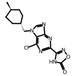 C[C@H]1CC[C@H](Cn2cnc3nc(-c4noc(=O)[nH]4)nc(Cl)c32)CC1